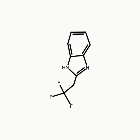 FC(F)(F)Cc1nc2ccccc2[nH]1